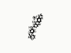 CP(C)(=O)c1c(Nc2nc(Nc3ccc4c(c3)OC[C@@H]3COCCN43)ncc2Br)ccc2nccnc12